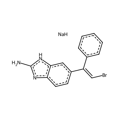 Nc1nc2ccc(/C(=C/Br)c3ccccc3)cc2[nH]1.[NaH]